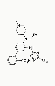 CC(C)CN(c1ccc(-c2ccccc2C(=O)O)cc1Nc1nc(C(F)(F)F)ns1)C1CCN(C)CC1